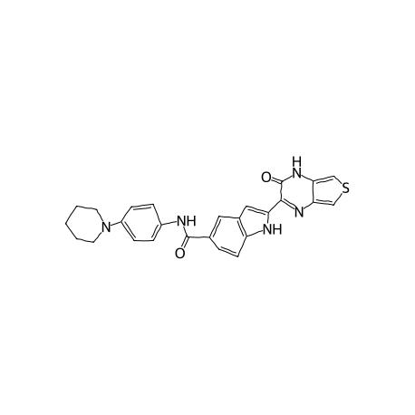 O=C(Nc1ccc(N2CCCCC2)cc1)c1ccc2[nH]c(-c3nc4cscc4[nH]c3=O)cc2c1